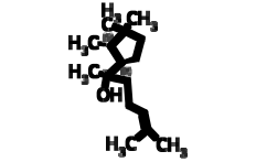 CC(C)=CCC[C@](C)(O)[C@@H]1CCC(C)(C)[C@H]1C